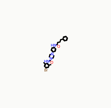 Cc1cc(Br)cc(C)c1NC(=O)N1CCN(c2ccc(NC(=O)CCCc3ccccc3)cc2)CC1